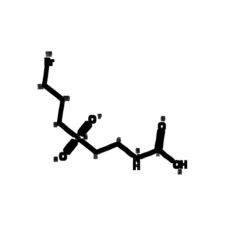 O=C(O)NCCS(=O)(=O)CCCBr